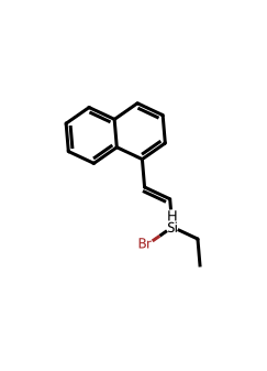 CC[SiH](Br)C=Cc1cccc2ccccc12